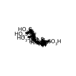 Cc1cc(N=Nc2ccc(NC(=O)Nc3ccc(N=Nc4cc(C)c(/N=N/c5ccc(C(=O)O)cc5OCCCS(=O)(=O)O)cc4OCCCS(=O)(=O)O)cc3)cc2)c(OCCCS(=O)(=O)O)cc1/N=N\c1ccc(C(=O)O)cc1OCCCS(=O)(=O)O